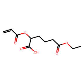 C=CC(=O)OC(CCCC(=O)OCC)C(=O)O